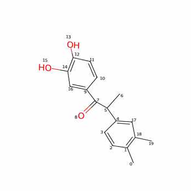 Cc1ccc(C(C)C(=O)c2ccc(O)c(O)c2)cc1C